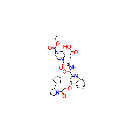 CCOC(=O)N1CCN(C(=O)[C@H](CCC(=O)O)NC(=O)c2cc(OCC(=O)N3CCCC3C3CCCC3)c3ccccc3n2)CC1